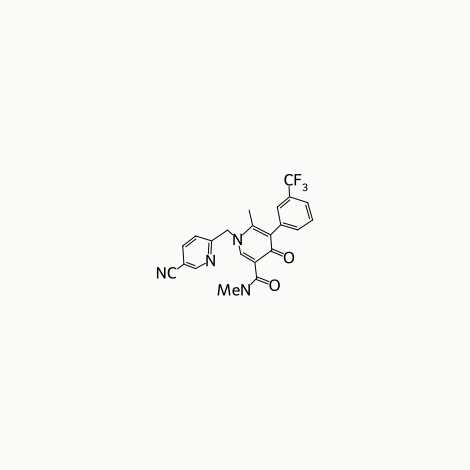 CNC(=O)c1cn(Cc2ccc(C#N)cn2)c(C)c(-c2cccc(C(F)(F)F)c2)c1=O